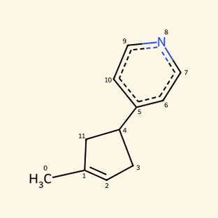 CC1=CCC(c2ccncc2)C1